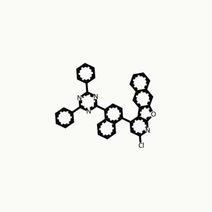 Clc1cc(-c2ccc(-c3nc(-c4ccccc4)nc(-c4ccccc4)n3)c3ccccc23)c2c(n1)oc1cc3ccccc3cc12